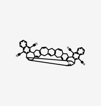 N#Cc1c2c(c(C#N)c3ccccc13)C1CC3=C4C=C1CC1=C2CC2C(=C1)CC1=C(CC5C=CC6=C(C=C(C4)C(C=C3)C6)CC5=C1)c1c2c(C#N)c2ccccc2c1C#N